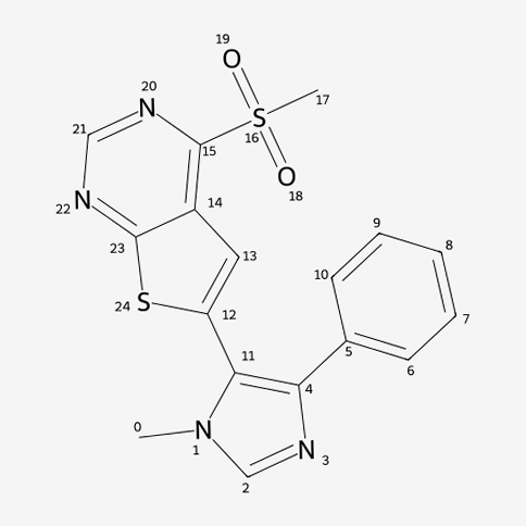 Cn1cnc(-c2ccccc2)c1-c1cc2c(S(C)(=O)=O)ncnc2s1